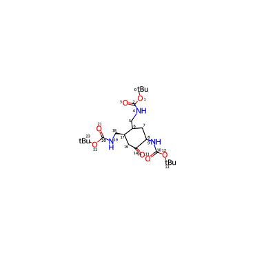 CC(C)(C)OC(=O)NCC1C[C@@H](NC(=O)OC(C)(C)C)C(=O)C[C@H]1CNC(=O)OC(C)(C)C